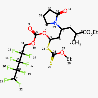 CCOC(=O)C(C)CC(CC(OC(=O)OCC(F)(F)C(F)(F)C(F)(F)C(F)F)SC(=S)OCC)N1CCCC1=O